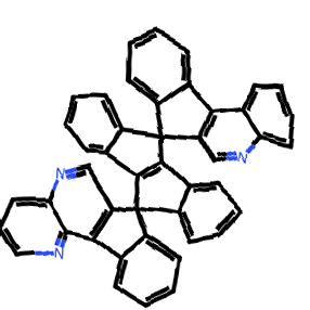 c1ccc2c(c1)C1=C(c3ccccc3C13c1ccccc1-c1c3cnc3cccnc13)C21c2ccccc2-c2c1cnc1ccccc21